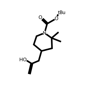 C=C(O)CC1CCN(C(=O)OC(C)(C)C)C(C)(C)C1